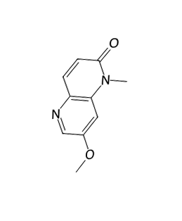 COc1cnc2ccc(=O)n(C)c2c1